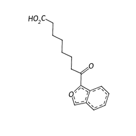 O=C(O)CCCCCCC(=O)c1occ2ccccc12